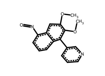 COc1cc2c(N=O)cccc2c(-c2cccnc2)c1OC